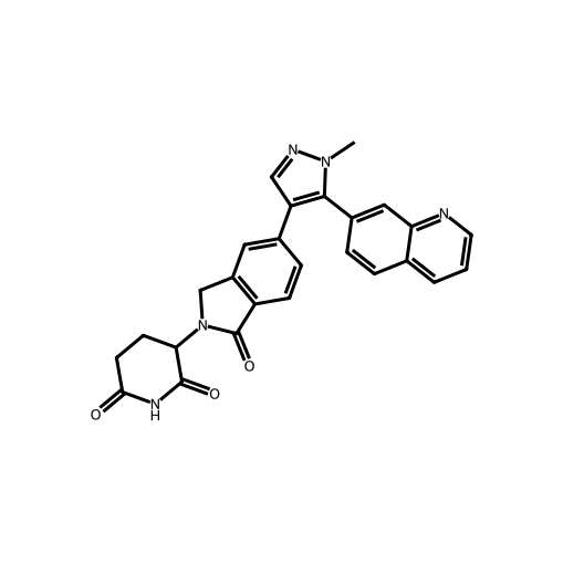 Cn1ncc(-c2ccc3c(c2)CN(C2CCC(=O)NC2=O)C3=O)c1-c1ccc2cccnc2c1